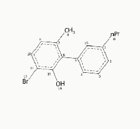 CCCc1cccc(-c2c(C)ccc(Br)c2O)c1